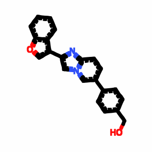 OCc1ccc(-c2ccc3nc(-c4coc5ccccc45)cn3c2)cc1